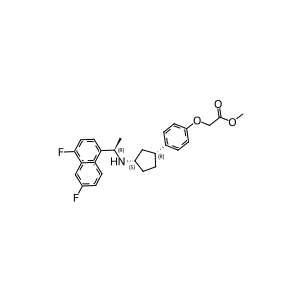 COC(=O)COc1ccc([C@@H]2CC[C@H](N[C@H](C)c3ccc(F)c4cc(F)ccc34)C2)cc1